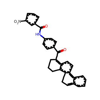 O=C(Nc1ccc(C(=O)C2=c3ccc4c(c3CCC2)CC=c2ccccc2=4)cc1)c1cccc([N+](=O)[O-])c1